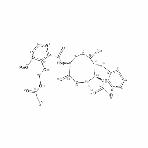 COc1ccnc(C(=O)N[C@H]2COC(=O)[C@H](Cc3ccccc3)[C@@H](OC(=O)C(C)C)[C@H](C)OC2=O)c1OCOC(=O)C(C)C